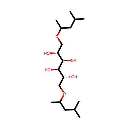 CC(C)CC(C)OC[C@@H](O)[C@@H](O)[C@H](O)[C@@H](O)COC(C)CC(C)C